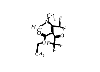 CCOC(=O)C(C(=O)C(F)(F)F)=C(C(F)F)N(C)C